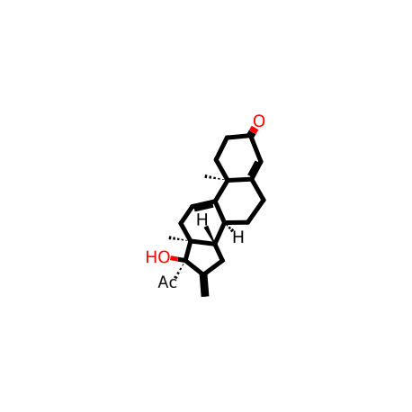 C=C1C[C@H]2[C@@H]3CCC4=CC(=O)CC[C@]4(C)C3=CC[C@]2(C)[C@@]1(O)C(C)=O